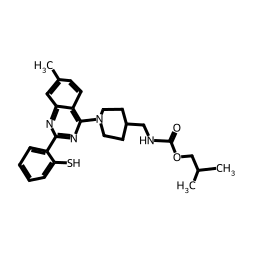 Cc1ccc2c(N3CCC(CNC(=O)OCC(C)C)CC3)nc(-c3ccccc3S)nc2c1